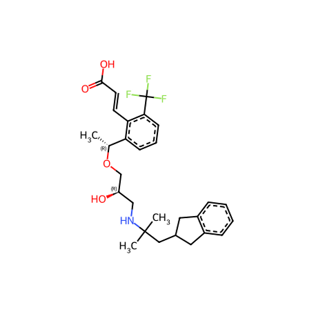 C[C@@H](OC[C@H](O)CNC(C)(C)CC1Cc2ccccc2C1)c1cccc(C(F)(F)F)c1C=CC(=O)O